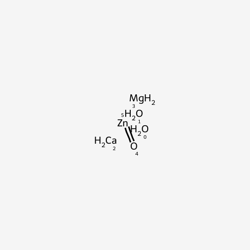 O.O.[CaH2].[MgH2].[O]=[Zn]